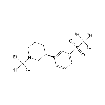 [2H]C([2H])(CC)N1CCC[C@@H](c2cccc(S(=O)(=O)C([2H])([2H])[2H])c2)C1